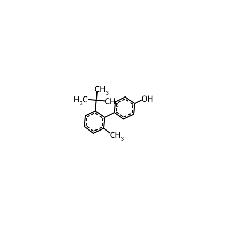 Cc1cccc(C(C)(C)C)c1-c1ccc(O)cc1